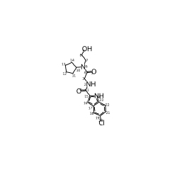 O=C(NCC(=O)N(CCO)C1CCCC1)c1cc2cc(Cl)ccc2[nH]1